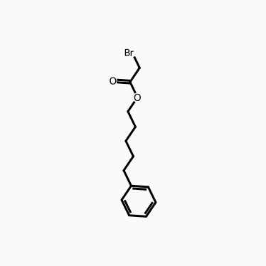 O=C(CBr)OCCCCCc1ccccc1